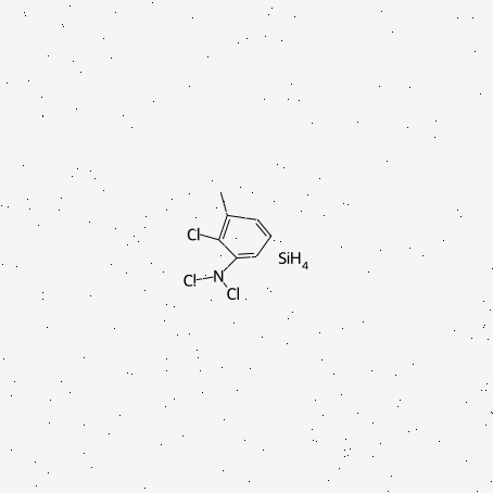 Cc1cccc(N(Cl)Cl)c1Cl.[SiH4]